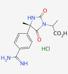 CC(C(=O)O)N1C(=O)N[C@@](C)(c2ccc(C(=N)N)cc2)C1=O.Cl